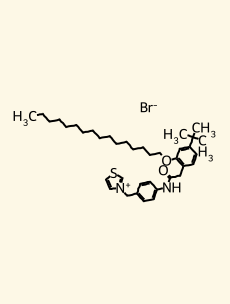 CCCCCCCCCCCCCCCCOc1cc(C(C)(C)C)ccc1CC(=O)Nc1ccc(C[n+]2ccsc2)cc1.[Br-]